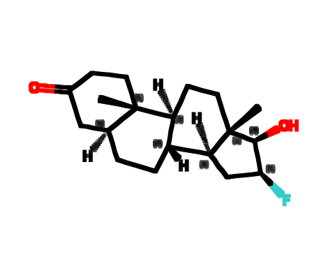 C[C@]12CCC(=O)C[C@@H]1CC[C@@H]1[C@@H]2CC[C@]2(C)[C@@H](O)[C@@H](F)C[C@@H]12